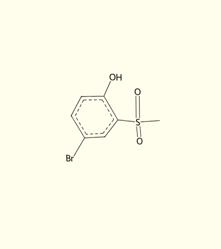 CS(=O)(=O)c1cc(Br)ccc1O